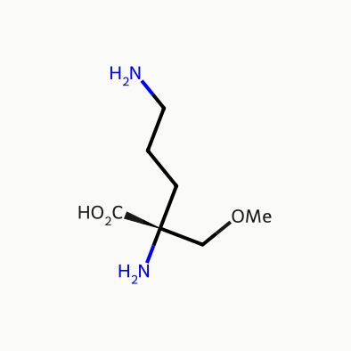 COC[C@](N)(CCCN)C(=O)O